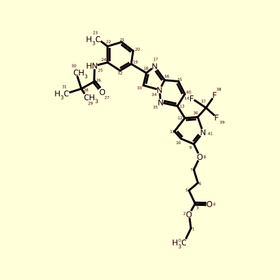 CCOC(=O)CCCOc1ccc(-c2ccc3nc(-c4ccc(C)c(NC(=O)C(C)(C)C)c4)cn3n2)c(C(F)(F)F)n1